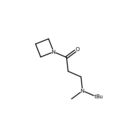 CN(CCC(=O)N1CCC1)C(C)(C)C